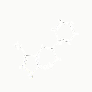 O=COC(Cc1c[nH]nc1C(F)(F)F)c1ccccc1